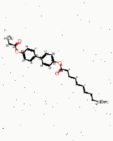 CCCCCCCCCCCCCCCCCCC(=O)Oc1ccc(-c2ccc(OC(=O)CC(C)CC)cc2)cc1